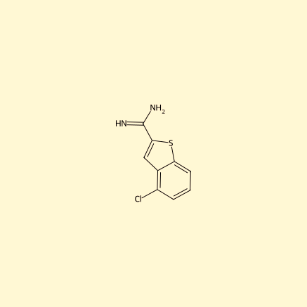 N=C(N)c1cc2c(Cl)cccc2s1